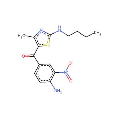 CCCCNc1nc(C)c(C(=O)c2ccc(N)c([N+](=O)[O-])c2)s1